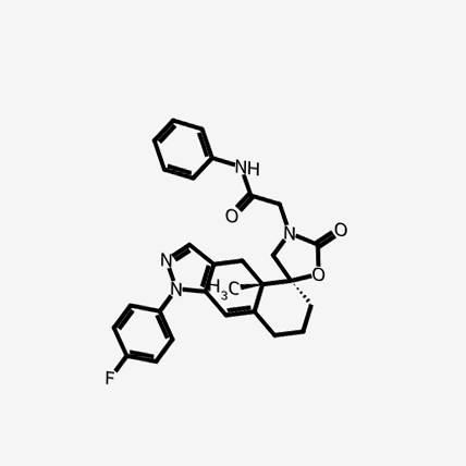 C[C@]12Cc3cnn(-c4ccc(F)cc4)c3C=C1CCC[C@@]21CN(CC(=O)Nc2ccccc2)C(=O)O1